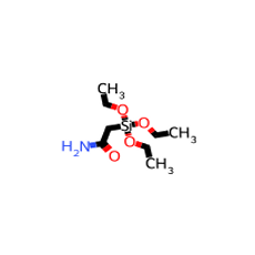 CCO[Si](CC(N)=O)(OCC)OCC